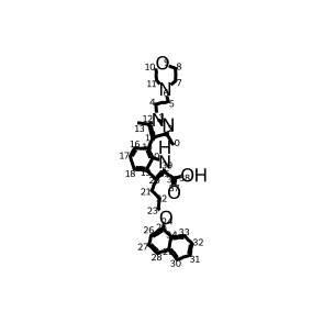 Cc1nn(CCN2CCOCC2)c(C)c1-c1cccc2c(CCCOc3cccc4ccccc34)c(C(=O)O)[nH]c12